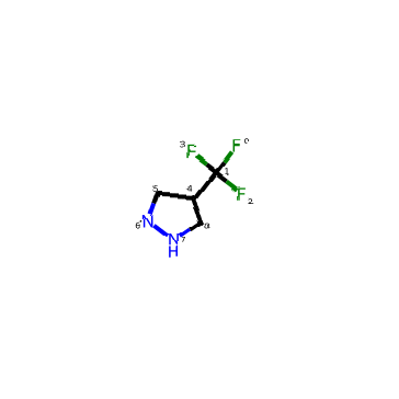 FC(F)(F)C1C[N]NC1